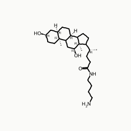 C[C@H](CCC(=O)NCCCCN)C1CCC2[C@@H]3CC[C@@H]4C[C@H](O)CC[C@]4(C)C3C[C@H](O)[C@@]21C